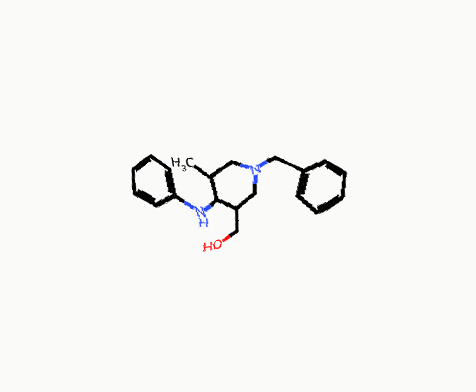 CC1CN(Cc2ccccc2)CC(CO)C1Nc1ccccc1